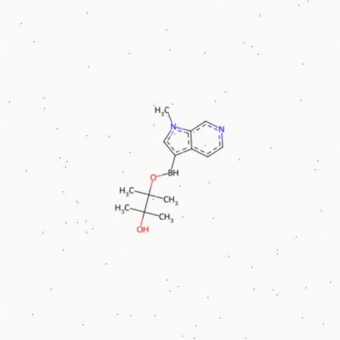 Cn1cc(BOC(C)(C)C(C)(C)O)c2ccncc21